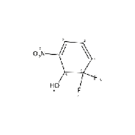 O=[N+]([O-])C1=CC=CC(F)(F)C1O